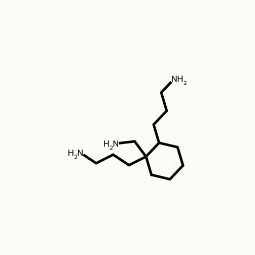 NCCCC1CCCCC1(CN)CCCN